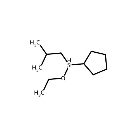 CCO[SiH](CC(C)C)C1CCCC1